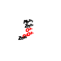 [O-2].[O-2].[O-2].[Pb+2].[Zn+2].[Zn+2]